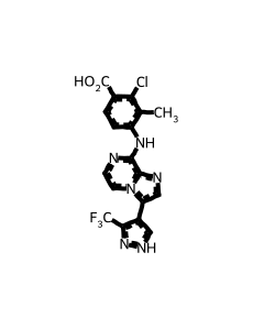 Cc1c(Nc2nccn3c(-c4c[nH]nc4C(F)(F)F)cnc23)ccc(C(=O)O)c1Cl